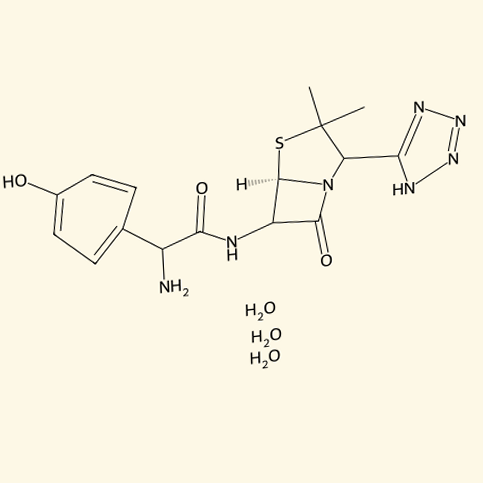 CC1(C)S[C@@H]2C(NC(=O)C(N)c3ccc(O)cc3)C(=O)N2C1c1nnn[nH]1.O.O.O